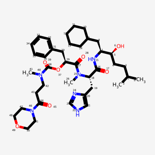 CC(C)CC[C@H](O)[C@H](CC1CCCCC1)NC(=O)[C@H](Cc1c[nH]cn1)N(C)C(=O)[C@H](Cc1ccccc1)OC(=O)N(C)CCC(=O)N1CCOCC1